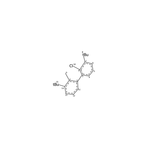 Cc1c(-c2cccc(C(C)(C)C)c2Cl)cccc1C(C)(C)C